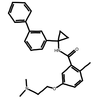 Cc1ccc(OCCN(C)C)cc1C(=O)NC1(c2cccc(-c3ccccc3)c2)CC1